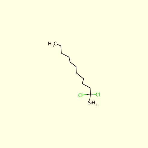 CCCCCCCCCCC([SiH3])(Cl)Cl